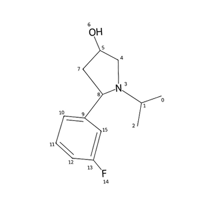 CC(C)N1CC(O)CC1c1cccc(F)c1